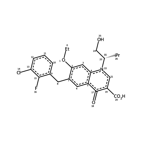 CCOc1cc2c(cc1Cc1cccc(Cl)c1F)c(=O)c(C(=O)O)cn2[C@H](CO)C(C)C